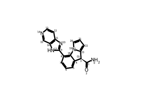 NC(=O)[C@H]1c2cccc(-c3nc4ccncc4[nH]3)c2-n2cccc21